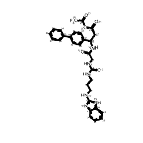 O=C(CNC(=O)NCCCNc1nc2ccccc2[nH]1)NC(CC(=O)OC(=O)C(F)(F)F)c1ccc(-c2ccccc2)cc1